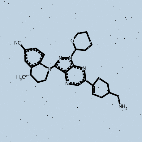 C[C@H]1CCN(c2nn(C3CCCCO3)c3nc(C4=CCC(CN)CC4)cnc23)c2ccc(C#N)cc21